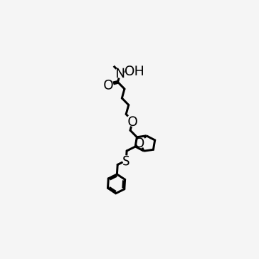 CN(O)C(=O)CCCCOCC1C2CCC(O2)C1CSCc1ccccc1